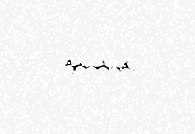 NC(CCSCC(O)COCC(=O)O)C(=O)O